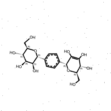 OC[C@H]1O[C@H](c2ccc([C@H]3O[C@H](CO)[C@@H](O)C(O)=C3O)cc2)[C@@H](O)[C@@H](O)[C@@H]1O